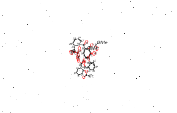 COC(=O)Oc1ccccc1C(=O)C1(OC(=O)C(C)C)C=CC=CC1C(=O)OOC(=O)C1C=CC=CC1(OC(=O)C(C)C)C(=O)c1ccccc1OC(=O)OC